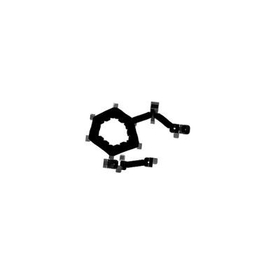 O=CNc1ccccc1.O=S(=O)(O)Cl